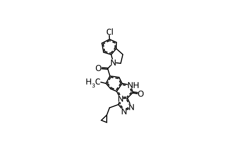 Cc1cc2c(cc1C(=O)N1CCc3cc(Cl)ccc31)[nH]c(=O)c1nnc(CC3CC3)n12